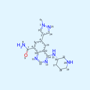 Cn1cc(-c2cc(C(N)=O)c3ncnc(N[C@H]4CCCNC4)c3c2)cn1